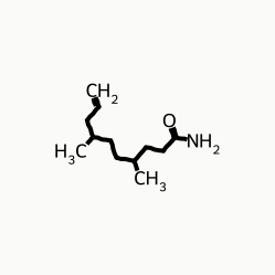 C=CCC(C)CCC(C)CCC(N)=O